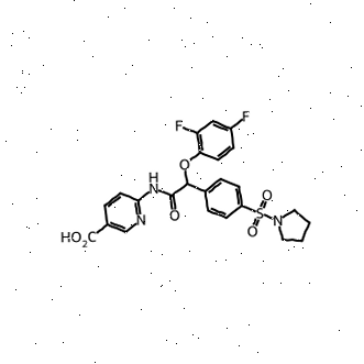 O=C(O)c1ccc(NC(=O)C(Oc2ccc(F)cc2F)c2ccc(S(=O)(=O)N3CCCC3)cc2)nc1